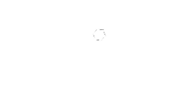 CC1CCC(C2CCC(Cc3ccc(C4CCCCC4)c(F)c3F)CC2)CC1